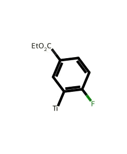 CCOC(=O)c1ccc(F)[c]([Ti])c1